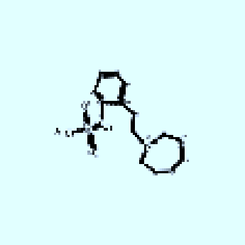 CS(=O)(=O)Nc1ccccc1CCN1CCCCCC1